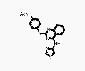 CC(=O)Nc1ccc(Sc2nc(Nc3cscn3)c3ccccc3n2)cc1